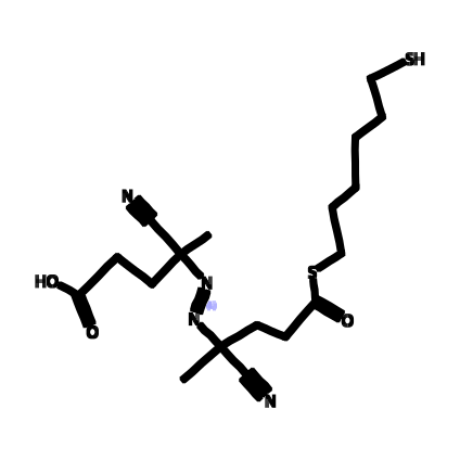 CC(C#N)(CCC(=O)O)/N=N/C(C)(C#N)CCC(=O)SCCCCCCS